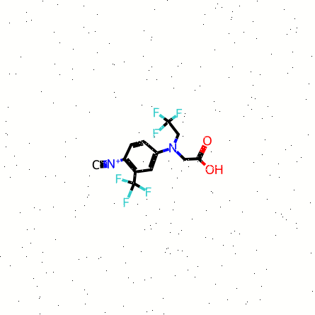 [C-]#[N+]c1ccc(N(CC(=O)O)CC(F)(F)F)cc1C(F)(F)F